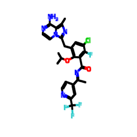 C/C(=N\C(=O)c1c(F)c(Cl)cc(Cc2nc(C)c3c(N)nccn23)c1OC(C)C)c1ccnc(C(F)(F)F)c1